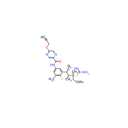 C#CCOc1cnc(C(=O)Nc2cc(C)c(F)c([C@@H](C)[C@H](C)[C@@](C)(COC)SC(=N)N)c2)cn1